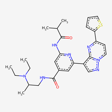 CCN(CC)C(C)CNC(=O)c1cc(NC(=O)C(C)C)nc(-c2cnn3ccc(-c4cccs4)nc23)c1